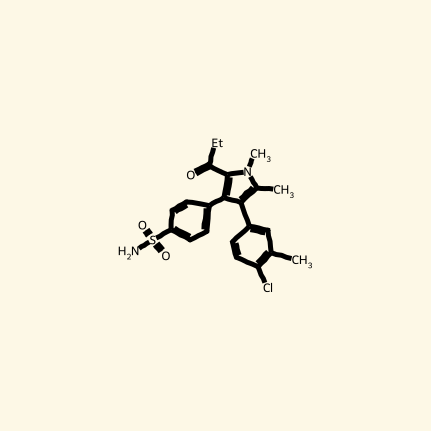 CCC(=O)c1c(-c2ccc(S(N)(=O)=O)cc2)c(-c2ccc(Cl)c(C)c2)c(C)n1C